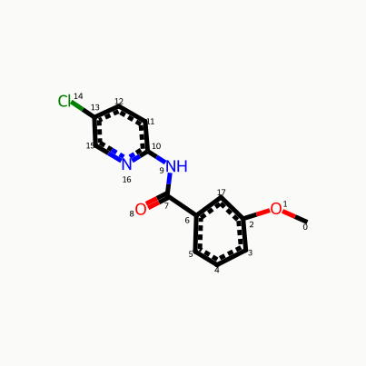 COc1cccc(C(=O)Nc2ccc(Cl)cn2)c1